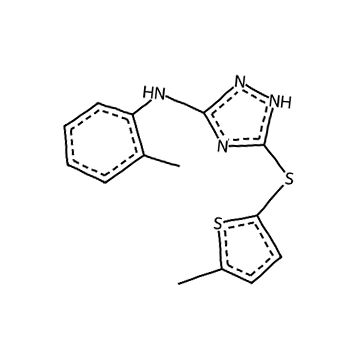 Cc1ccc(Sc2nc(Nc3ccccc3C)n[nH]2)s1